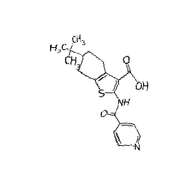 CC(C)(C)C1CCc2c(sc(NC(=O)c3ccncc3)c2C(=O)O)C1